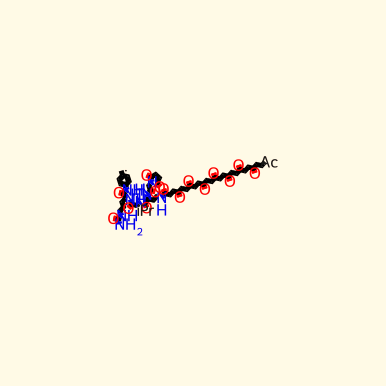 [CH2]c1ccc(NC(=O)C(CCCNC(N)=O)NC(=O)C(NC(=O)C(CCNC(=O)CCC(=O)CCC(=O)CCC(=O)CCC(=O)CCC(=O)CCC(=O)CCC(=O)CCC(C)=O)NC(=O)CN2C(=O)C=CC2=O)C(C)C)cc1